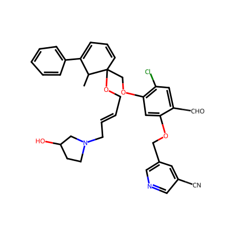 CC1C(c2ccccc2)=CC=CC1(COc1cc(OCc2cncc(C#N)c2)c(C=O)cc1Cl)OC/C=C/CN1CCC(O)C1